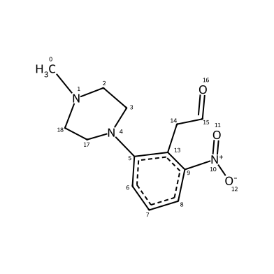 CN1CCN(c2cccc([N+](=O)[O-])c2CC=O)CC1